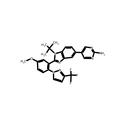 COc1ccc(-n2ccc(C(F)(F)F)n2)c(-c2nc3cc(-c4cnc(N)nc4)ccc3n2C(C)(C)C)c1